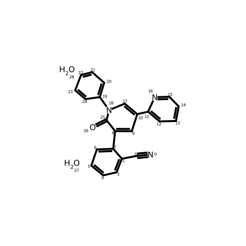 N#Cc1ccccc1-c1cc(-c2ccccn2)cn(-c2ccccc2)c1=O.O.O